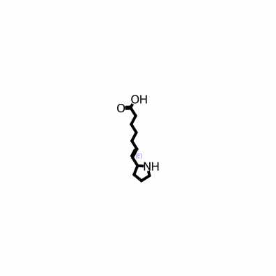 O=C(O)CCCC/C=C/C1CCCN1